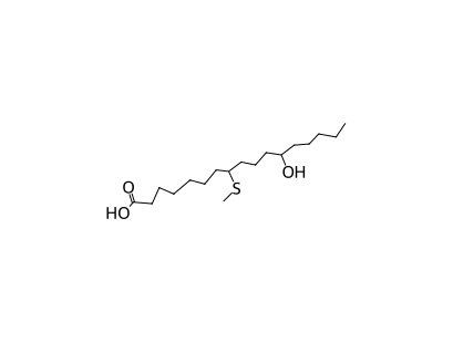 CCCCCC(O)CCCC(CCCCCCC(=O)O)SC